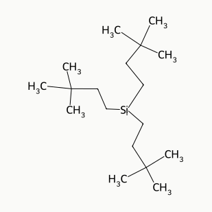 CC(C)(C)CC[Si](CCC(C)(C)C)CCC(C)(C)C